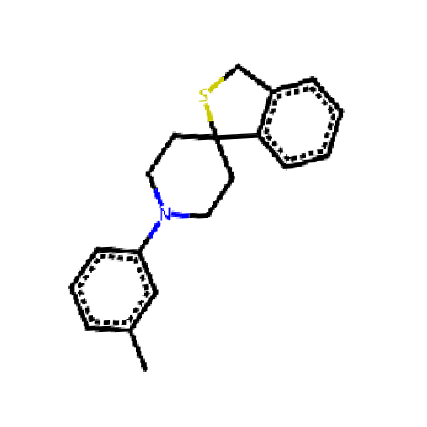 Cc1cccc(N2CCC3(CC2)SCc2ccccc23)c1